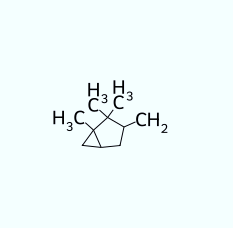 [CH2]C1CC2CC2(C)C1(C)C